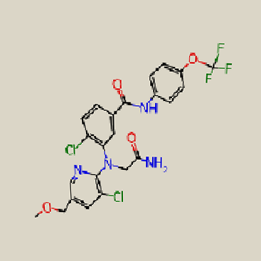 COCc1cnc(N(CC(N)=O)c2cc(C(=O)Nc3ccc(OC(F)(F)F)cc3)ccc2Cl)c(Cl)c1